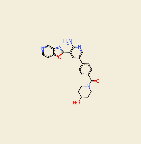 Nc1ncc(-c2ccc(C(=O)N3CCC(O)CC3)cc2)cc1-c1nc2cnccc2o1